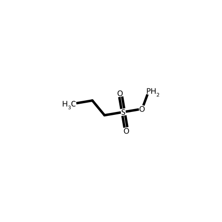 CCCS(=O)(=O)OP